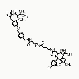 Cc1sc2c(c1C)C(c1ccc(Cl)cc1)=NC(CC(=O)NCCCC(=O)NCCCC(=O)NCc1ccc(COc3ccc4c(c3)N(C)C(C(C)C)C(=O)N[C@H](CO)C4)cc1)c1nnc(C)n1-2